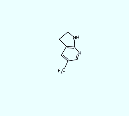 FC(F)(F)c1cnc2c(c1)CCN2